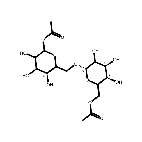 CC(=O)OCC1O[C@H](OCC2OC(OC(C)=O)C(O)C(O)[C@@H]2O)C(O)[C@@H](O)[C@H]1O